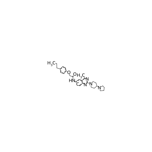 CCCc1ccc(OCC(=O)Nc2ccc3nc(N4CCC(N5CCCC5)CC4)nc(C)c3c2)cc1